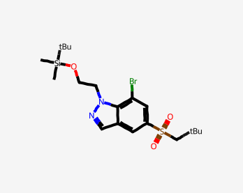 CC(C)(C)CS(=O)(=O)c1cc(Br)c2c(cnn2CCO[Si](C)(C)C(C)(C)C)c1